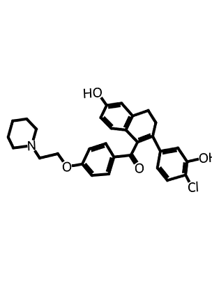 O=C(C1=C(c2ccc(Cl)c(O)c2)CCc2cc(O)ccc21)c1ccc(OCCN2CCCCC2)cc1